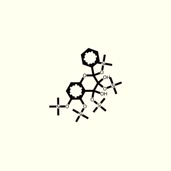 C[Si](C)(C)Oc1ccc2c(c1O[Si](C)(C)C)C(O)(O[Si](C)(C)C)C(O)(O[Si](C)(C)C)C(O[Si](C)(C)C)(c1ccccc1)O2